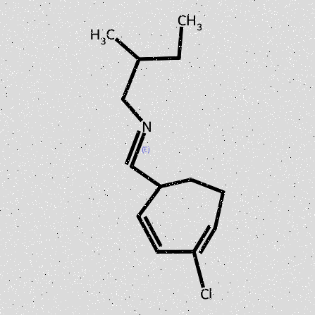 CCC(C)C/N=C/C1C=CC(Cl)=CCC1